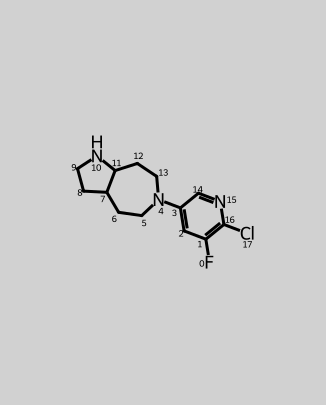 Fc1cc(N2CCC3CCNC3CC2)cnc1Cl